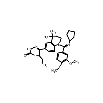 CCC1SC(=O)NN=C1c1ccc2c(c1)C(C)(C)CCN2/C(=N\C1CCCC1)c1ccc(OC)c(OC)c1